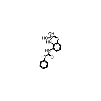 O=C(Nc1ccccc1)Nc1cccc2c1NS(O)(O)C=N2